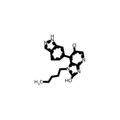 CCCCCn1c(O)nc2ncc(Cl)c(-c3ccc4cn[nH]c4c3)c21